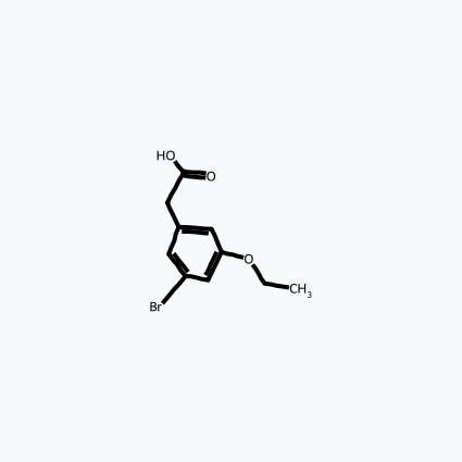 CCOc1cc(Br)cc(CC(=O)O)c1